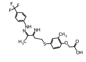 C/C(=N/Nc1ccc(C(F)(F)F)cc1)C(=N)CCSc1ccc(OCC(=O)O)c(C)c1